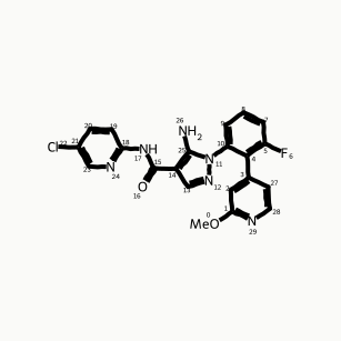 COc1cc(-c2c(F)cccc2-n2ncc(C(=O)Nc3ccc(Cl)cn3)c2N)ccn1